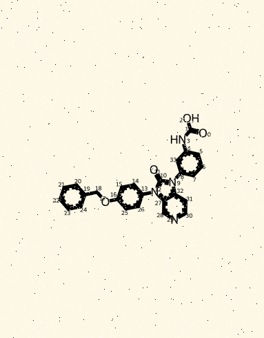 O=C(O)Nc1cccc(-n2c(=O)n(-c3ccc(OCc4ccccc4)cc3)c3cnccc32)c1